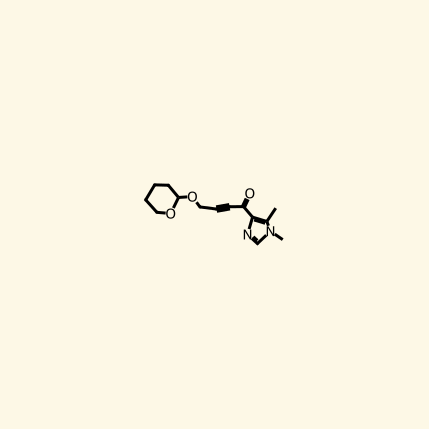 Cc1c(C(=O)C#CCOC2CCCCO2)ncn1C